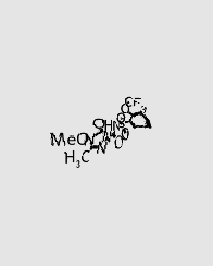 COn1c(C)nn(C(=O)NS(=O)(=O)c2ccccc2OC(F)(F)F)c1=O